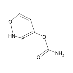 NC(=O)OC1=PNOC=C1